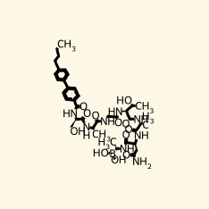 CCCCc1ccc(-c2ccc(C(=O)N[C@H](CO)C(=O)N[C@H](C)C(=O)NCC(=O)N[C@H](C(=O)N[C@@H](C)C(=O)N[C@@H](CC(N)=O)C(=O)N[C@@H](C)B(O)O)C(C)O)cc2)cc1